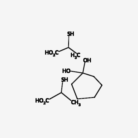 CC(S)C(=O)O.CC(S)C(=O)O.OC1(O)CCCCC1